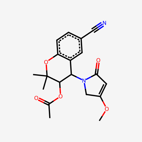 COC1=CC(=O)N(C2c3cc(C#N)ccc3OC(C)(C)C2OC(C)=O)C1